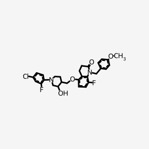 COc1ccc(CN2C(=O)CCc3c(OCC4CCN(c5ccc(Cl)cc5F)CC4O)ccc(F)c32)cc1